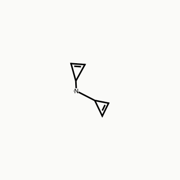 C1=CC1[N]C1C=C1